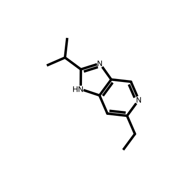 CCc1cc2[nH]c(C(C)C)nc2cn1